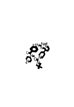 CN1CCC(N(C)C(=O)c2ccc(NC(=N)/N=c3\[nH]cccc3C3=CCN(C(=O)N4CC(C)(C)C4)CC3)cc2)CC1